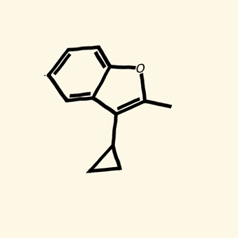 Cc1oc2cc[c]cc2c1C1CC1